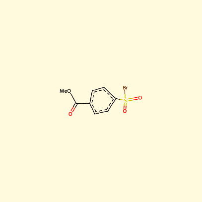 COC(=O)c1ccc(S(=O)(=O)Br)cc1